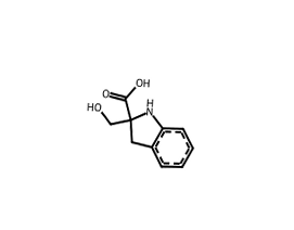 O=C(O)C1(CO)Cc2ccccc2N1